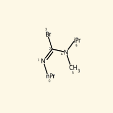 CCC/N=C(/Br)N(C)C(C)C